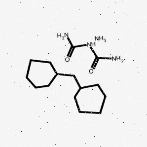 C1CCC(CC2CCCCC2)CC1.N.NC(=O)NC(N)=O